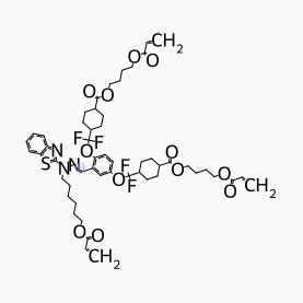 C=CC(=O)OCCCCCCN(/N=C/c1cc(OC(F)(F)C2CCC(C(=O)OCCCCOC(=O)C=C)CC2)ccc1OC(F)(F)C1CCC(C(=O)OCCCCOC(=O)C=C)CC1)c1nc2ccccc2s1